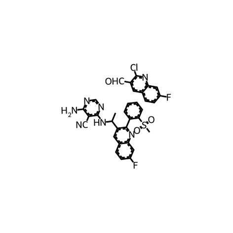 CC(Nc1ncnc(N)c1C#N)c1cc2ccc(F)cc2nc1-c1ccccc1S(C)(=O)=O.O=Cc1cc2ccc(F)cc2nc1Cl